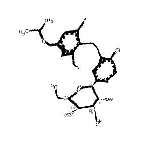 CC(C)Oc1cc(F)c(Cc2cc([C@@H]3O[C@H](CO)[C@@H](O)[C@H](O)[C@H]3O)ccc2Cl)c(F)c1